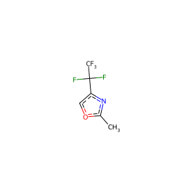 Cc1nc(C(F)(F)C(F)(F)F)co1